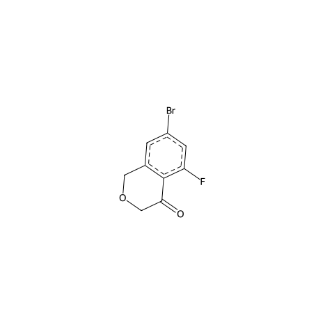 O=C1COCc2cc(Br)cc(F)c21